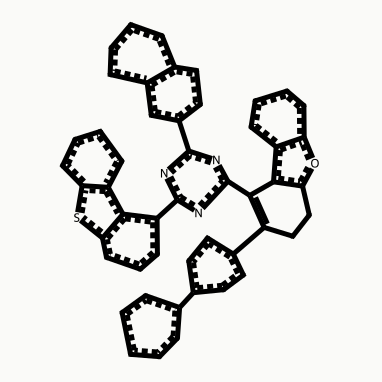 c1ccc(-c2ccc(C3=C(c4nc(-c5ccc6ccccc6c5)nc(-c5cccc6sc7ccccc7c56)n4)c4c(oc5ccccc45)CC3)cc2)cc1